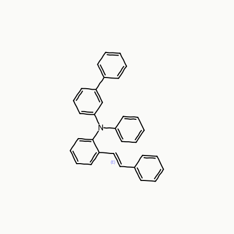 C(=C\c1ccccc1N(c1ccccc1)c1cccc(-c2ccccc2)c1)/c1ccccc1